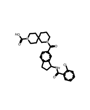 O=C(NC1CCc2ccc(C(=O)N3CCCC4(CCN(C(=O)O)CC4)C3)cc21)c1ccccc1Cl